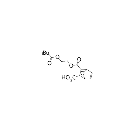 CCC(C)C(=O)OCCOC(=O)C1C2C=CC(O2)C1C(=O)O